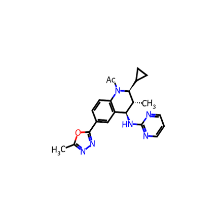 CC(=O)N1c2ccc(-c3nnc(C)o3)cc2[C@H](Nc2ncccn2)[C@@H](C)[C@@H]1C1CC1